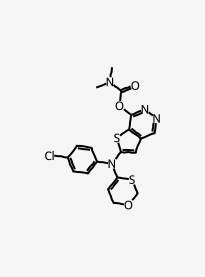 CN(C)C(=O)Oc1nncc2cc(N(C3=CCOCS3)c3ccc(Cl)cc3)sc12